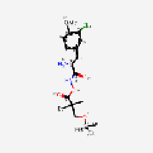 CCC(C)(CO[Si](CC)(CC)CC)C(=O)ONC(=O)[C@H](N)Cc1ccc(OC)c(Cl)c1